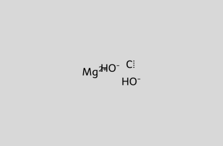 [C].[Mg+2].[OH-].[OH-]